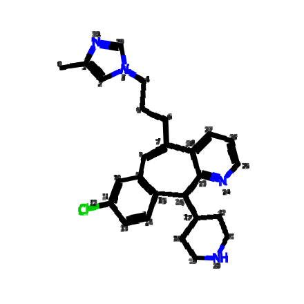 Cc1cn(CCCC2=Cc3cc(Cl)ccc3C(C3CCNCC3)c3ncccc32)cn1